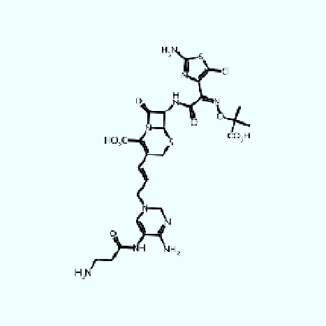 CC(C)(O/N=C(\C(=O)N[C@@H]1C(=O)N2C(C(=O)O)=C(/C=C/CN3C=C(NC(=O)CCN)C(N)=NC3)CSC12)c1nc(N)sc1Cl)C(=O)O